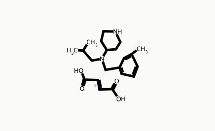 Cc1cccc(CN(CC(C)C)C2CCNCC2)c1.O=C(O)/C=C/C(=O)O